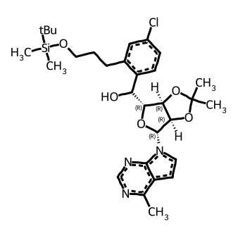 Cc1ncnc2c1ccn2[C@@H]1O[C@H](C(O)c2ccc(Cl)cc2CCCO[Si](C)(C)C(C)(C)C)[C@H]2OC(C)(C)O[C@H]21